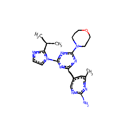 Cc1nc(N)ncc1-c1nc(N2CCOCC2)nc(-n2ccnc2C(C)C)n1